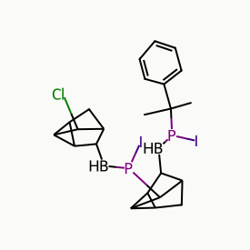 CC(C)(c1ccccc1)P(I)BC1C2CC3C1C3C2P(I)BC1C2CC3C(C2Cl)C13